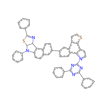 c1ccc(C2=NC3c4c(ccc5cc(-c6ccc7c(c6)c6ccsc6c6ccn(-c8nc(-c9ccccc9)nc(-c9ccccc9)n8)c76)ccc45)N(c4ccccc4)C3S2)cc1